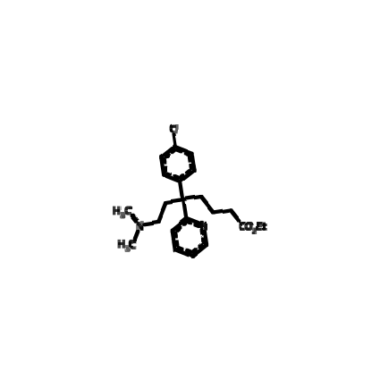 CCOC(=O)CCCC(CCN(C)C)(c1ccc(Cl)cc1)c1ccccn1